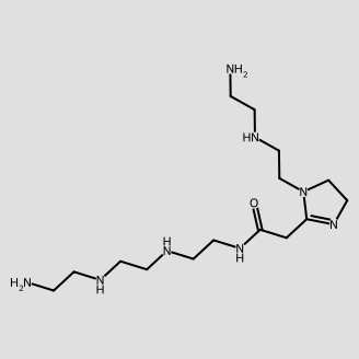 NCCNCCNCCNC(=O)CC1=NCCN1CCNCCN